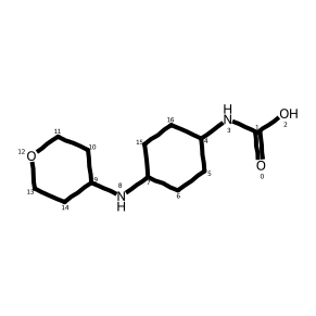 O=C(O)NC1CCC(NC2CCOCC2)CC1